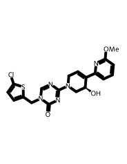 COc1cccc(C2=CCN(c3ncn(Cc4ccc(Cl)s4)c(=O)n3)C[C@@H]2O)n1